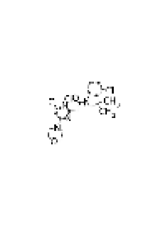 Cn1c(CC(=O)N2CC(C)(C)c3c(Cl)cccc32)nc(N2CCOCC2)cc1=O